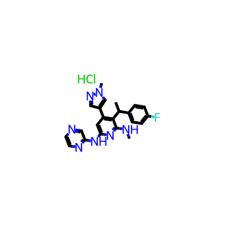 CNc1nc(Nc2cnccn2)cc(-c2cnn(C)c2)c1C(C)c1ccc(F)cc1.Cl